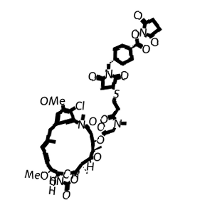 COc1cc2cc(c1Cl)N(C)C(=O)C[C@H](OC(=O)CN(C)C(=O)CCS[C@@H]1CC(=O)N(C[C@H]3CC[C@H](C(=O)ON4C(=O)CCC4=O)CC3)C1=O)[C@]1(C)O[C@H]1[C@H](C)[C@@H]1C[C@@](O)(NC(=O)O1)[C@H](OC)/C=C/C=C(\C)C2